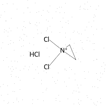 Cl.Cl[N+]1(Cl)CC1